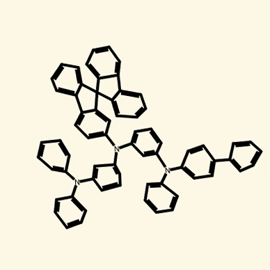 c1ccc(-c2ccc(N(c3ccccc3)c3cccc(N(c4cccc(N(c5ccccc5)c5ccccc5)c4)c4ccc5c(c4)C4(c6ccccc6-c6ccccc64)c4ccccc4-5)c3)cc2)cc1